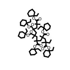 CCC1(OC(=O)C(C)(C)CC(C)(CC(C)(CC(C)(CC(C)(CC(C)(CC)C(=O)OC2(CC)CCCCC2)C(=O)OC2(CC)CCCCC2)C(=O)OC2(CC)CCCCC2)C(=O)OC2(CC)CCCCC2)C(=O)OC2(CC)CCCCC2)CCCCC1